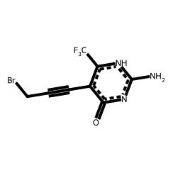 Nc1nc(=O)c(C#CCBr)c(C(F)(F)F)[nH]1